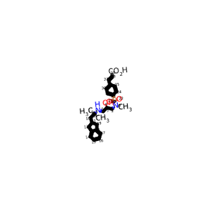 CN(C[C@H](O)CNC(C)(C)CC1Cc2ccccc2C1)S(=O)(=O)c1ccc(/C=C/C(=O)O)cc1